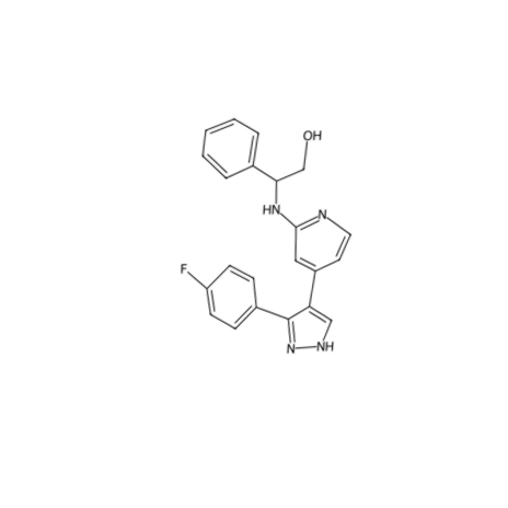 OCC(Nc1cc(-c2c[nH]nc2-c2ccc(F)cc2)ccn1)c1ccccc1